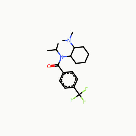 CC(C)N(C(=O)c1ccc(C(F)(F)F)cc1)C1CCCCC1N(C)C